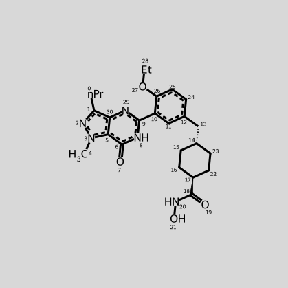 CCCc1nn(C)c2c(=O)[nH]c(-c3cc(C[C@H]4CC[C@H](C(=O)NO)CC4)ccc3OCC)nc12